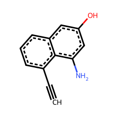 C#Cc1cccc2cc(O)cc(N)c12